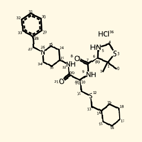 CC1(C)SCN[C@@H]1C(=O)N[C@@H](CSCC1CCCCC1)C(=O)NC1CCN(Cc2ccccc2)CC1.Cl